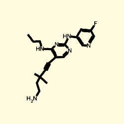 CCCNc1nc(Nc2cncc(F)c2)ncc1C#CC(C)(C)CCN